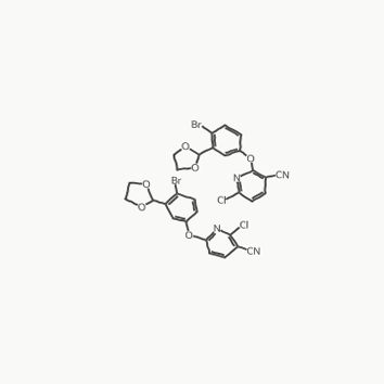 N#Cc1ccc(Cl)nc1Oc1ccc(Br)c(C2OCCO2)c1.N#Cc1ccc(Oc2ccc(Br)c(C3OCCO3)c2)nc1Cl